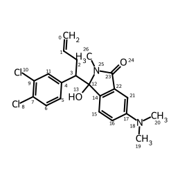 C=CCC(c1ccc(Cl)c(Cl)c1)C1(O)c2ccc(N(C)C)cc2C(=O)N1C